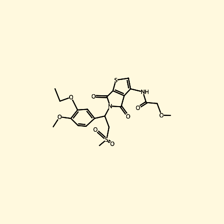 CCOc1cc(C(CS(C)(=O)=O)N2C(=O)c3scc(NC(=O)COC)c3C2=O)ccc1OC